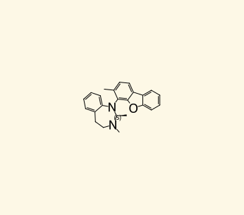 Cc1ccc2c(oc3ccccc32)c1N1c2ccccc2CCN(C)[C@@H]1C